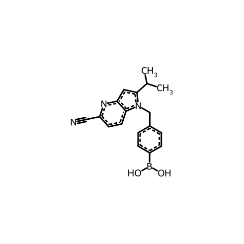 CC(C)c1cc2nc(C#N)ccc2n1Cc1ccc(B(O)O)cc1